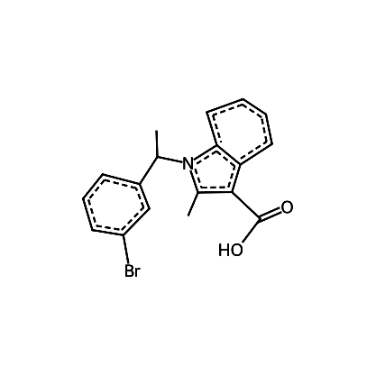 Cc1c(C(=O)O)c2ccccc2n1C(C)c1cccc(Br)c1